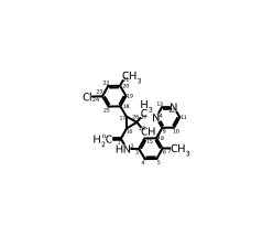 C=C(Nc1ccc(C)c(-c2ccncn2)c1)C1C(c2cc(C)cc(Cl)c2)C1(C)C